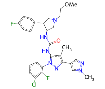 COCCN1C[C@@H](NC(=O)Nc2c(C)c(-c3cnn(C)c3)nn2-c2cccc(Cl)c2F)[C@H](c2ccc(F)cc2)C1